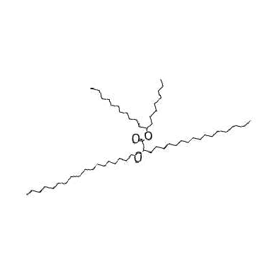 CCCCCCCCCCCCCCCCCCOC(CCCCCCCCCCCCCCCC)C(=O)OC(CCCCCCCC)CCCCCCCCCCC